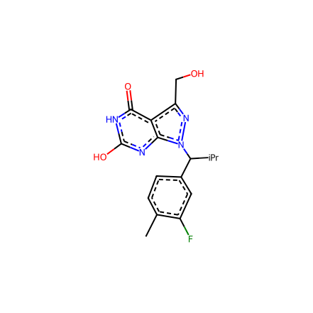 Cc1ccc(C(C(C)C)n2nc(CO)c3c(=O)[nH]c(O)nc32)cc1F